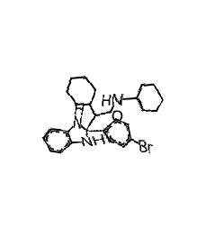 O=C(NC1CCCCC1)C(C1CCCCC1)C1(c2ccc(Br)cc2)Nc2ccccc2N1